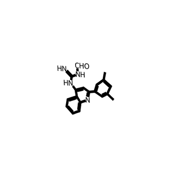 Cc1cc(C)cc(-c2cc(NC(=N)NC=O)c3ccccc3n2)c1